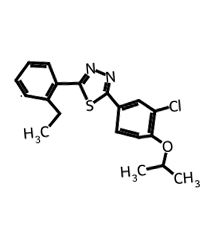 CCc1[c]cccc1-c1nnc(-c2ccc(OC(C)C)c(Cl)c2)s1